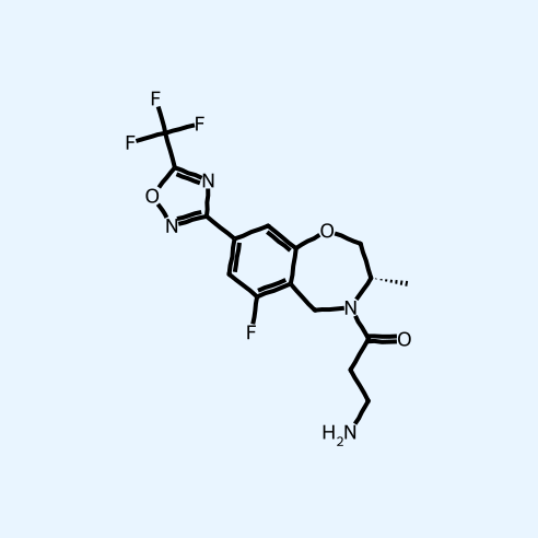 C[C@H]1COc2cc(-c3noc(C(F)(F)F)n3)cc(F)c2CN1C(=O)CCN